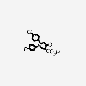 O=C(O)c1cn(-c2ccc(F)cc2)c(-c2ccc(Cl)cc2)cc1=O